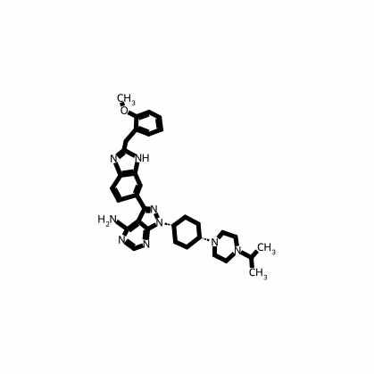 COc1ccccc1Cc1nc2ccc(-c3nn([C@H]4CC[C@@H](N5CCN(C(C)C)CC5)CC4)c4ncnc(N)c34)cc2[nH]1